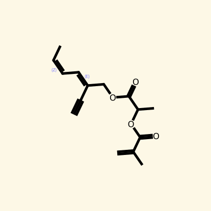 C#C/C(=C\C=C/C)COC(=O)C(C)OC(=O)C(=C)C